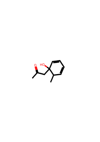 CC(=O)CC1(O)C=CC=CC1C